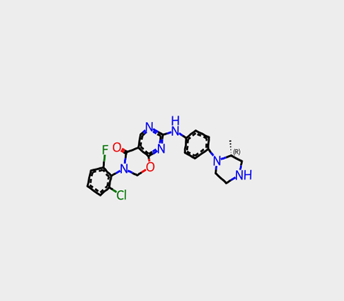 C[C@@H]1CNCCN1c1ccc(Nc2ncc3c(n2)OCN(c2c(F)cccc2Cl)C3=O)cc1